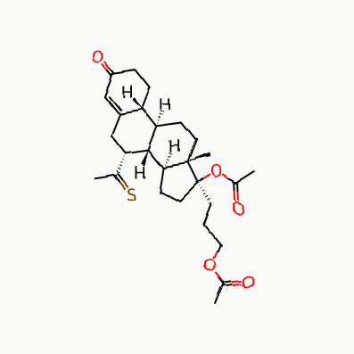 CC(=O)OCCC[C@]1(OC(C)=O)CC[C@H]2[C@H]3[C@H](CC[C@@]21C)[C@H]1CCC(=O)C=C1C[C@H]3C(C)=S